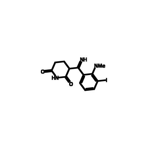 CNc1c(I)cccc1C(=N)C1CCC(=O)NC1=O